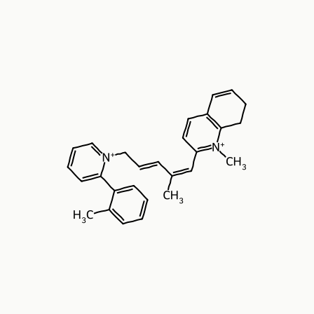 CC(=C/c1ccc2c([n+]1C)CCC=C2)/C=C/C[n+]1ccccc1-c1ccccc1C